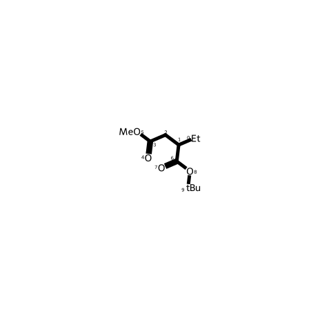 CCC(CC(=O)OC)C(=O)OC(C)(C)C